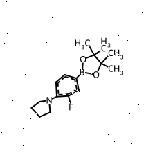 CC1(C)OB(c2ccc(N3CCCC3)c(F)c2)OC1(C)C